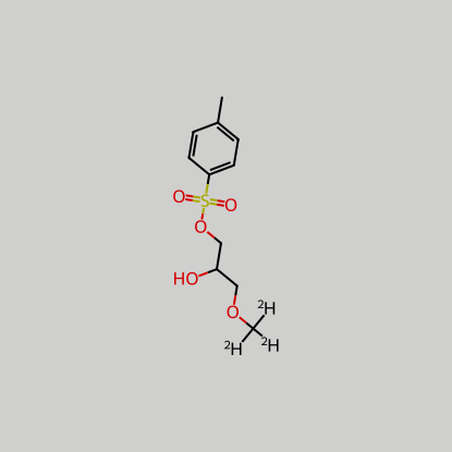 [2H]C([2H])([2H])OCC(O)COS(=O)(=O)c1ccc(C)cc1